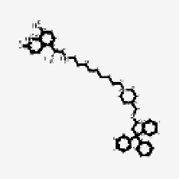 O=C(CC(c1ccccc1)(c1ccccc1)c1ccccc1)OCC1CCN(CCCCCCCCCNC[C@H](O)c2ccc(O)c3[nH]c(=O)ccc23)CC1